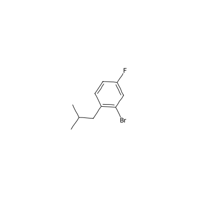 CC(C)Cc1ccc(F)cc1Br